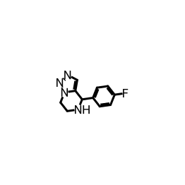 Fc1ccc(C2NCCn3nncc32)cc1